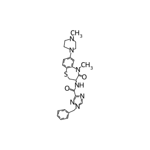 CN1CCN(c2ccc3c(c2)N(C)C(=O)[C@@H](NC(=O)c2ncn(Cc4ccccc4)n2)CS3)CC1